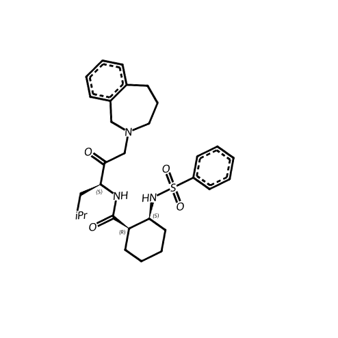 CC(C)C[C@H](NC(=O)[C@@H]1CCCC[C@@H]1NS(=O)(=O)c1ccccc1)C(=O)CN1CCCc2ccccc2C1